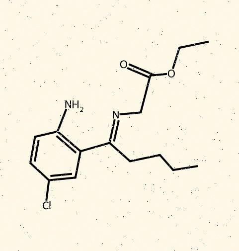 CCCCC(=NCC(=O)OCC)c1cc(Cl)ccc1N